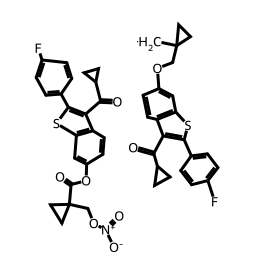 O=C(c1c(-c2ccc(F)cc2)sc2cc(OC(=O)C3(CO[N+](=O)[O-])CC3)ccc12)C1CC1.[CH2]C1(COc2ccc3c(C(=O)C4CC4)c(-c4ccc(F)cc4)sc3c2)CC1